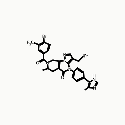 Cc1nc[nH]c1-c1ccc(-n2c(=O)c3c(n4ncc(CC(C)C)c24)CN(C(=O)c2ccc(Br)c(C(F)(F)F)c2)C(C)C3)cc1